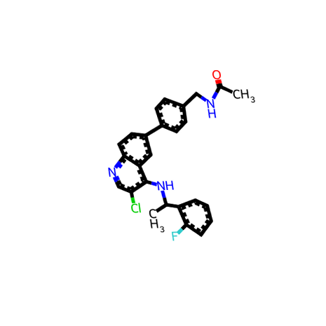 CC(=O)NCc1ccc(-c2ccc3ncc(Cl)c(NC(C)c4ccccc4F)c3c2)cc1